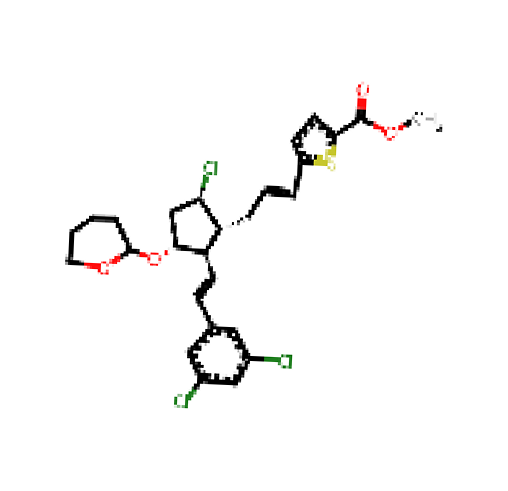 COC(=O)c1ccc(C=CC[C@@H]2[C@@H](C=Cc3cc(Cl)cc(Cl)c3)[C@H](OC3CCCCO3)C[C@H]2Cl)s1